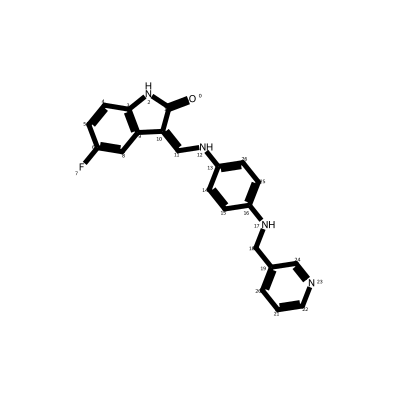 O=C1Nc2ccc(F)cc2C1=CNc1ccc(NCc2cccnc2)cc1